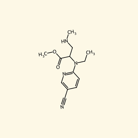 CCN(c1ccc(C#N)cn1)C(CNC)C(=O)OC